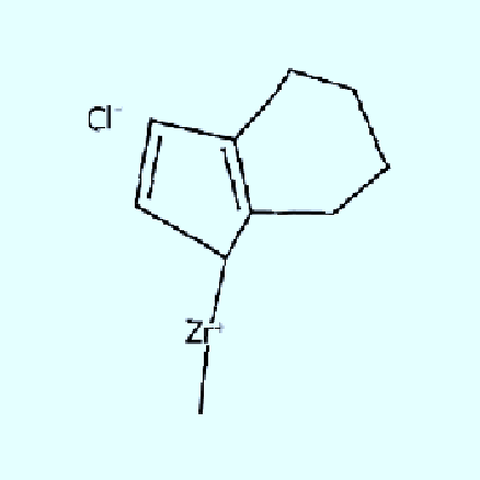 [CH3][Zr+][CH]1C=CC2=C1CCCC2.[Cl-]